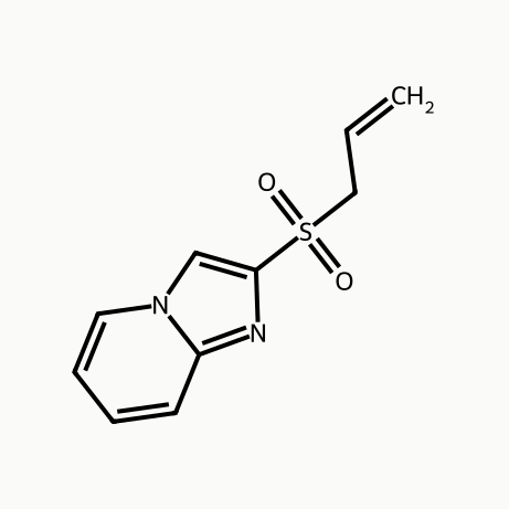 C=CCS(=O)(=O)c1cn2ccccc2n1